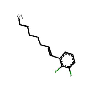 CCCCCC/C=C/c1cccc(F)c1F